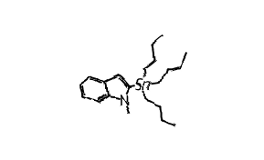 CCC[CH2][Sn]([CH2]CCC)([CH2]CCC)[c]1cc2ccccc2n1C